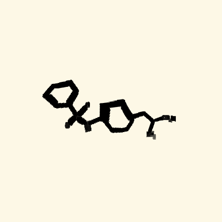 N[C@@H](Cc1ccc(NS(=O)(=O)c2ccccc2)cc1)C(=O)O